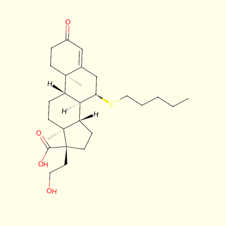 CCCCCS[C@@H]1CC2=CC(=O)CC[C@]2(C)[C@H]2CC[C@@]3(C)[C@@H](CC[C@]3(CCO)C(=O)O)[C@H]12